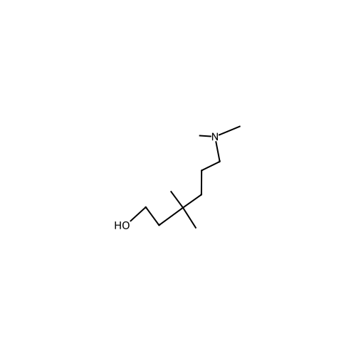 CN(C)CCCC(C)(C)CCO